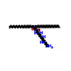 CCCCCCCCCCCCCCCCCCN(CCCCCCCCCCCCCCCCCC)C(=O)CNC(=O)CNCCCNCCCCNCCCN